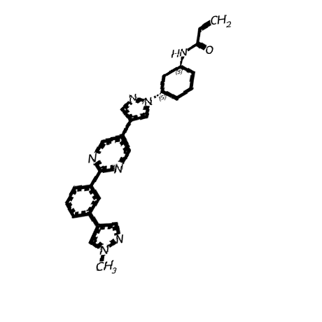 C=CC(=O)N[C@H]1CCC[C@H](n2cc(-c3cnc(-c4cccc(-c5cnn(C)c5)c4)nc3)cn2)C1